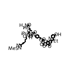 CCc1c2c(nc3ccc(O)cc13)-c1cc3c(c(=O)n1C2)COC(=O)[C@@]3(CC)OC(=O)OCc1ccc(NC(=O)[C@H](CCCNC(N)=O)NC(=O)[C@@H](NC(=O)CCCC#Cc2cnc(SC)nc2)C(C)C)cc1